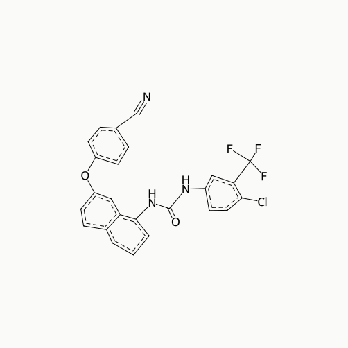 N#Cc1ccc(Oc2ccc3cccc(NC(=O)Nc4ccc(Cl)c(C(F)(F)F)c4)c3c2)cc1